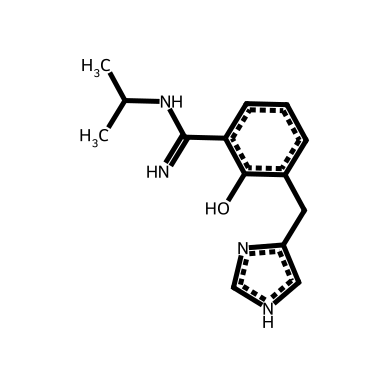 CC(C)NC(=N)c1cccc(Cc2c[nH]cn2)c1O